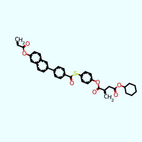 C=CC(=O)Oc1ccc2cc(-c3ccc(C(=O)Sc4ccc(OC(=O)C(=C)CC(=O)OC5CCCCC5)cc4)cc3)ccc2c1